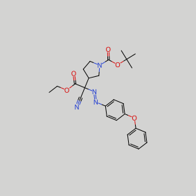 CCOC(=O)C(C#N)(/N=N/c1ccc(Oc2ccccc2)cc1)C1CCN(C(=O)OC(C)(C)C)C1